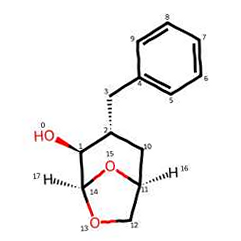 O[C@H]1[C@H](Cc2ccccc2)C[C@H]2CO[C@@H]1O2